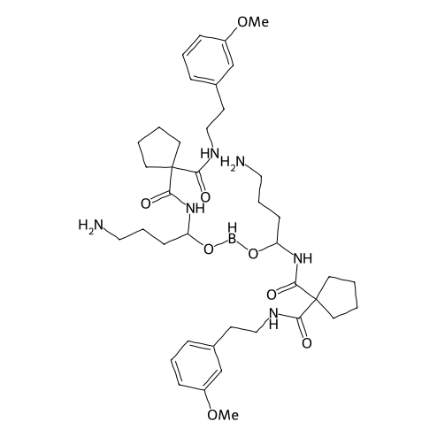 COc1cccc(CCNC(=O)C2(C(=O)NC(CCCN)OBOC(CCCN)NC(=O)C3(C(=O)NCCc4cccc(OC)c4)CCCC3)CCCC2)c1